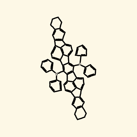 c1ccc(N(c2ccccc2)c2c3c4ccc5c6c(ccc(c3c(N(c3ccccc3)c3ccccc3)c3c7ccc8c9c(ccc(c23)c97)-c2cc3c(cc2-8)CCCC3)c64)-c2cc3c(cc2-5)CCCC3)cc1